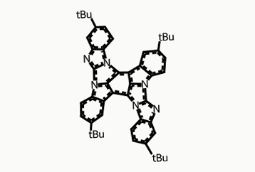 CC(C)(C)c1ccc2c(c1)nc1n2c2c3c4cc(C(C)(C)C)ccc4n4c3c(c3c5cc(C(C)(C)C)ccc5n1c32)n1c2ccc(C(C)(C)C)cc2nc14